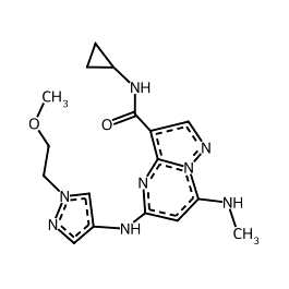 CNc1cc(Nc2cnn(CCOC)c2)nc2c(C(=O)NC3CC3)cnn12